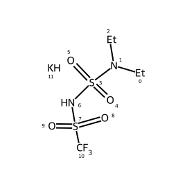 CCN(CC)S(=O)(=O)NS(=O)(=O)C(F)(F)F.[KH]